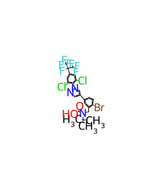 CC(C)(C)N(Cc1cc(-c2cnn(-c3c(Cl)cc(C(F)(C(F)(F)F)C(F)(F)F)cc3Cl)c2)ccc1Br)C(=O)O